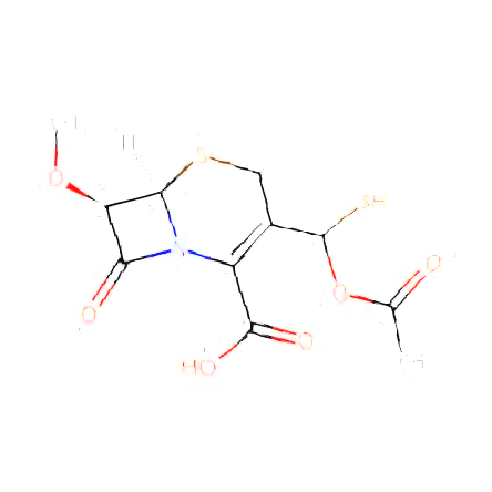 CO[C@@H]1C(=O)N2C(C(=O)O)=C(C(S)OC(C)=O)CS[C@H]12